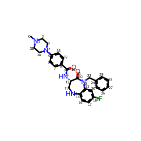 CN1CCN(c2ccc(C(=O)N[C@H]3CNc4ccc(F)cc4N(Cc4ccccc4)C3=O)cc2)CC1